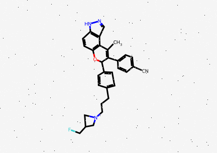 CC1=C(c2ccc(C#N)cc2)C(c2ccc(CCCN3CC(CF)C3)cc2)Oc2ccc3[nH]ncc3c21